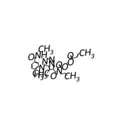 C/C=C/C(=O)OCOC(=O)N(CCC)C(=O)c1cn2ncnc(Nc3cc(C(=O)NCC)ccc3C)c2c1C